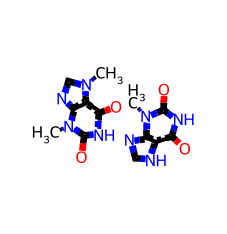 Cn1c(=O)[nH]c(=O)c2[nH]cnc21.Cn1cnc2c1c(=O)[nH]c(=O)n2C